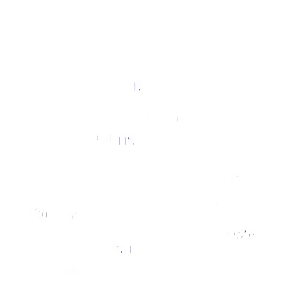 COC(=O)c1cc(NC(=O)OC(C)(C)C)cc(NC(=O)N(c2ccccc2)c2ccccc2C)c1